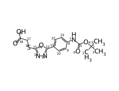 CC(C)(C)OC(=O)Nc1ccc(-c2nnc(SCC(=O)O)o2)cc1